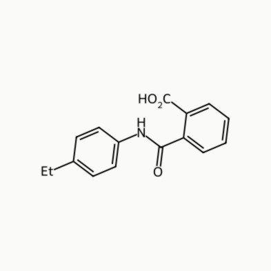 CCc1ccc(NC(=O)c2ccccc2C(=O)O)cc1